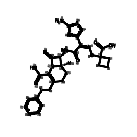 Nc1nc(/C(=N/OC2(C(=O)O)CCC2)C(=O)N[C@@H]2C(=O)N3C(C(=O)O)=C(CSc4ccncc4)CS[C@H]23)cs1